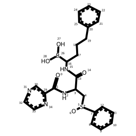 O=C(NC(C[S+]([O-])c1ccccc1)C(=O)NC(CCCc1ccccc1)B(O)O)c1cnccn1